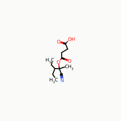 CCC(CC)C(C)(C#N)OC(=O)CCC(=O)O